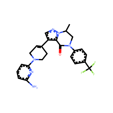 CC1CN(c2ccc(C(F)(F)F)cc2)C(=O)c2c(C3=CCN(c4cccc(N)n4)CC3)cnn21